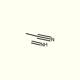 C=N.CC#N